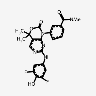 CNC(=O)c1cccc(N2C(=O)OC(C)(C)c3cnc(Nc4cc(F)c(O)c(F)c4)nc32)c1